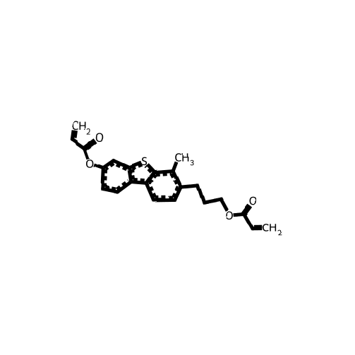 C=CC(=O)OCCCc1ccc2c(sc3cc(OC(=O)C=C)ccc32)c1C